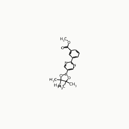 COC(=O)c1cccc(-c2ncc(B3OC(C)(C)C(C)(C)O3)cn2)c1